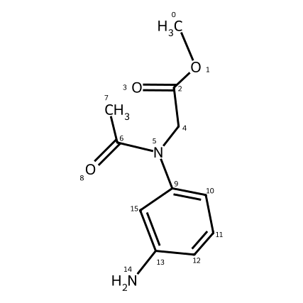 COC(=O)CN(C(C)=O)c1cccc(N)c1